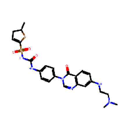 CC1CC=C(S(=O)(=O)NC(=O)Nc2ccc(-n3cnc4cc(NCCN(C)C)ccc4c3=O)cc2)S1